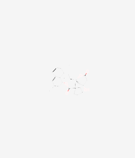 C[C@H]1C=C2C=C[C@H](C)[C@H](CC[C@@H]3C[C@@H](O)CC(=O)O3)[C@H]2[C@@H](OC(=O)C2(C)CCCC2)C1